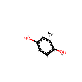 Oc1ccc(O)cc1.[Ag]